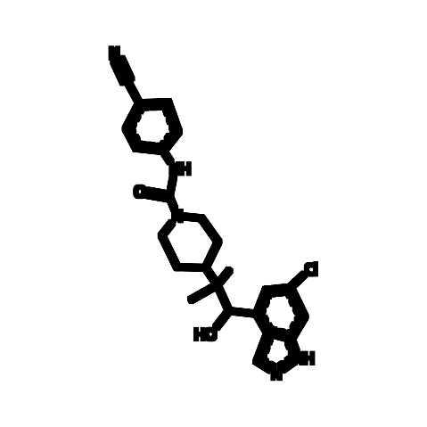 CC(C)(C1CCN(C(=O)Nc2ccc(C#N)cc2)CC1)C(O)c1cc(Cl)cc2[nH]ncc12